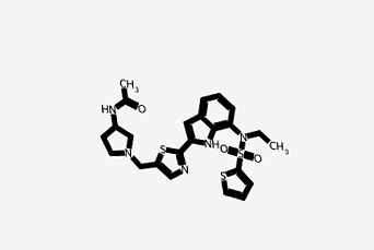 CCN(c1cccc2cc(-c3ncc(CN4CCC(NC(C)=O)C4)s3)[nH]c12)S(=O)(=O)c1cccs1